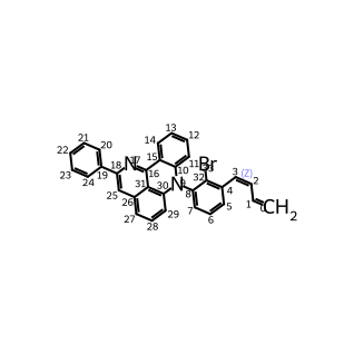 C=C/C=C\c1cccc(N2c3ccccc3-c3nc(-c4ccccc4)cc4cccc2c34)c1Br